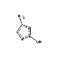 Nc1cnn(O)c1